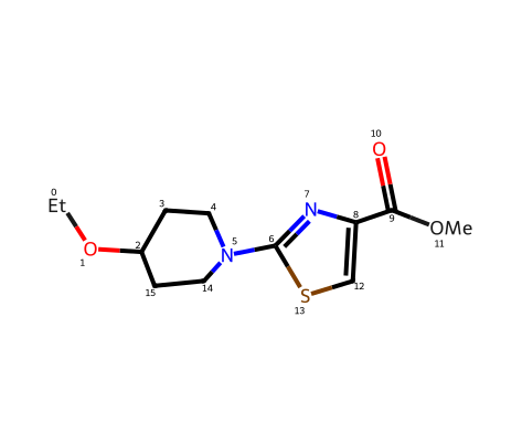 CCOC1CCN(c2nc(C(=O)OC)cs2)CC1